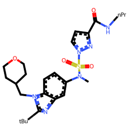 CCCNC(=O)c1ccn(S(=O)(=O)N(C)c2ccc3c(c2)nc(C(C)(C)C)n3CC2CCOCC2)n1